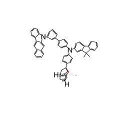 C[C@H]1C[C@H]2C[C@H]3CC(c4ccc(N(c5ccc(-c6cccc(-n7c8ccccc8c8cc9ccccc9cc87)c6)cc5)c5ccc6c(c5)C(C)(C)c5ccccc5-6)cc4)(CC23)C1